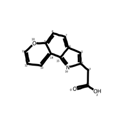 O=C(O)Cc1cc2ccc3occcc3c2n1